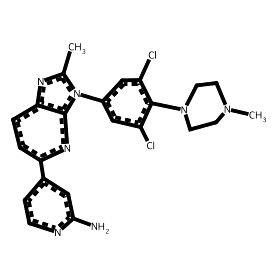 Cc1nc2ccc(-c3ccnc(N)c3)nc2n1-c1cc(Cl)c(N2CCN(C)CC2)c(Cl)c1